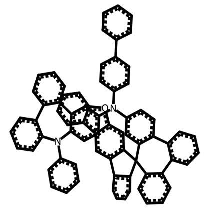 c1ccc(-c2ccc(N(c3ccc4c(c3)-c3ccccc3-c3ccccc3N4c3ccccc3)c3ccc4c(c3)C3(c5ccccc5-c5ccccc5-4)c4ccccc4-c4cc5c(cc43)oc3ccccc35)cc2)cc1